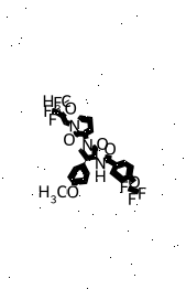 COc1ccc([C@@H]2CN(c3cccn(CC(OC)C(F)(F)F)c3=O)C(=O)[C@H]2NC(=O)c2ccc(OC(F)(F)F)cc2)cc1